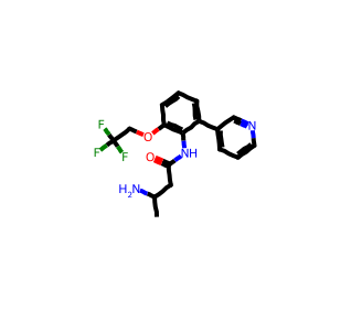 CC(N)CC(=O)Nc1c(OCC(F)(F)F)cccc1-c1cccnc1